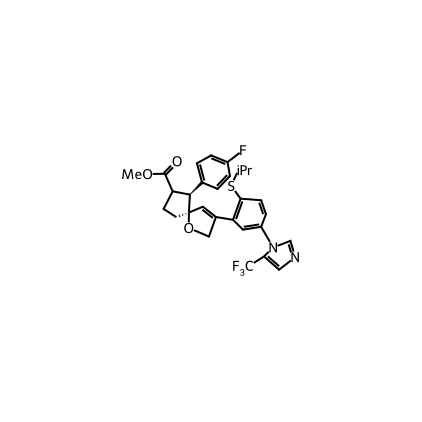 COC(=O)C1CC[C@@]2(C=C(c3cc(-n4cncc4C(F)(F)F)ccc3SC(C)C)CO2)[C@@H]1c1ccc(F)cc1